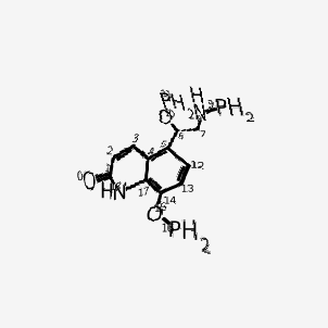 O=c1ccc2c([C@H](CNP)OP)ccc(OP)c2[nH]1